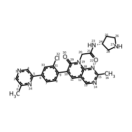 Cc1cncc(-c2ccc(-c3cc4cnc(C)nc4n(CC(=O)N[C@@H]4CCNC4)c3=O)c(Cl)c2)n1